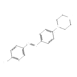 Brc1ccc(N=Nc2ccc(N3CCOCC3)cc2)cc1